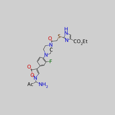 CCOC(=O)c1c[nH]c(SCC(=O)N2CCN(c3ccc(-c4cn(C(N)C(C)=O)oc4=O)cc3F)CC2)n1